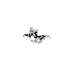 CCN(C(=O)N[C@@H](CCCF)C(F)(F)F)[C@@H](c1cc(-c2cn3cc(C)nc3c(OC)n2)c(OC)cn1)C(F)(F)F